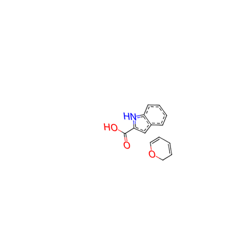 C1=CCOC=C1.O=C(O)c1cc2ccccc2[nH]1